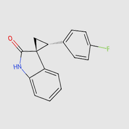 O=C1Nc2ccccc2[C@]12C[C@@H]2c1ccc(F)cc1